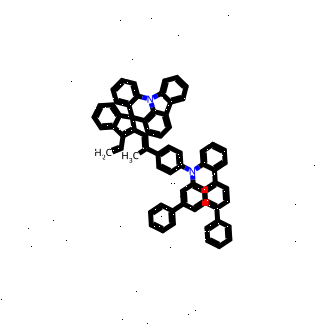 C=CC1=C(/C=C(\C)c2ccc(N(c3cccc(-c4ccccc4)c3)c3ccccc3-c3ccc(-c4ccccc4)cc3)cc2)C2(c3ccccc31)c1ccccc1-n1c3ccccc3c3cccc2c31